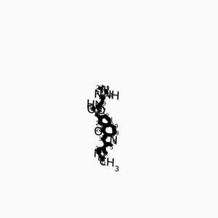 Cn1cc(-c2cnc3ccc4ccc(CS(=O)(=O)NCc5ncn[nH]5)cc4c(=O)c3c2)cn1